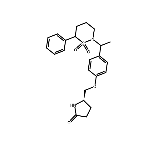 CC(c1ccc(OC[C@H]2CCC(=O)N2)cc1)N1CCCC(c2ccccc2)S1(=O)=O